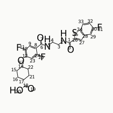 O=C(NCCNC(=O)c1cc(F)c(O[C@H]2CC[C@@H](C(=O)O)CC2)cc1F)c1cc2cc(F)ccc2s1